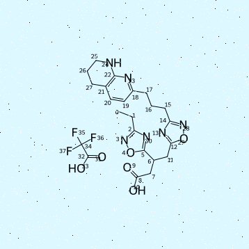 CCc1noc(C(CC(=O)O)Cc2nc(CCCc3ccc4c(n3)NCCC4)no2)n1.O=C(O)C(F)(F)F